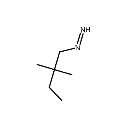 CCC(C)(C)CN=N